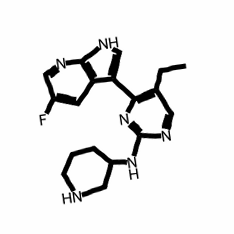 CCc1cnc(NC2CCCNC2)nc1-c1c[nH]c2ncc(F)cc12